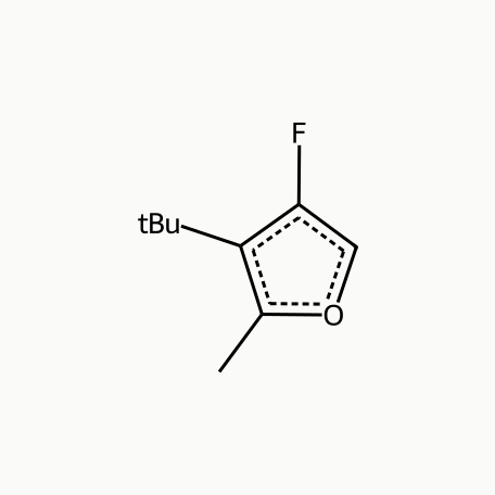 Cc1occ(F)c1C(C)(C)C